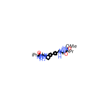 COC(=O)N[C@H](C(=O)N[C@@H](C)C1=NCC(c2ccc(-c3ccc4c(c3)CCCc3[nH]c([C@H](C)NC(=O)[C@@H](N)C(C)C)nc3-4)cc2)N1)C(C)C